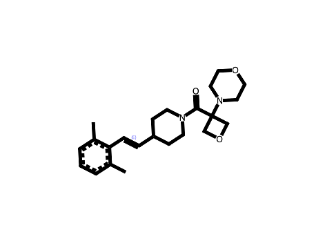 Cc1cccc(C)c1/C=C/C1CCN(C(=O)C2(N3CCOCC3)COC2)CC1